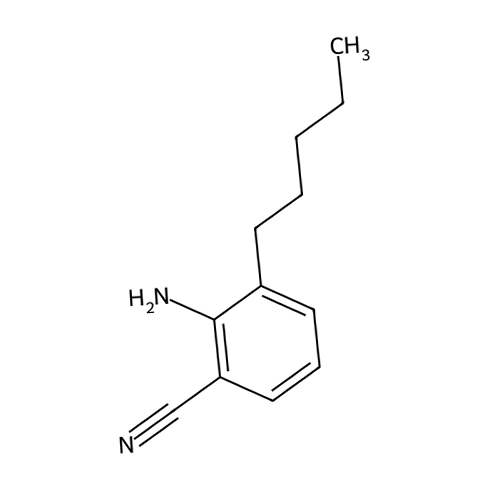 CCCCCc1cccc(C#N)c1N